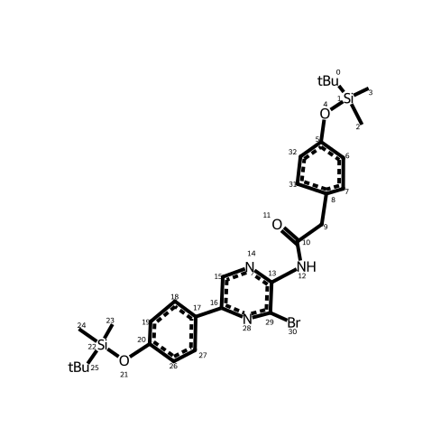 CC(C)(C)[Si](C)(C)Oc1ccc(CC(=O)Nc2ncc(-c3ccc(O[Si](C)(C)C(C)(C)C)cc3)nc2Br)cc1